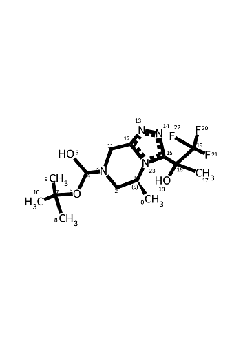 C[C@H]1CN(C(O)OC(C)(C)C)Cc2nnc(C(C)(O)C(F)(F)F)n21